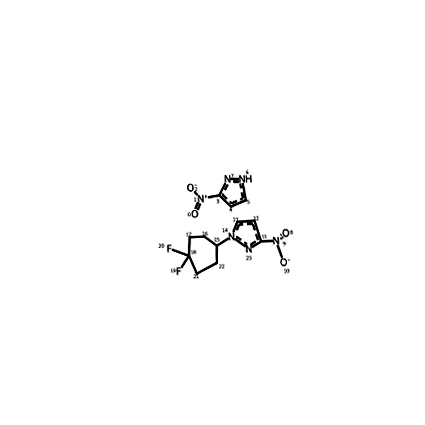 O=[N+]([O-])c1cc[nH]n1.O=[N+]([O-])c1ccn(C2CCC(F)(F)CC2)n1